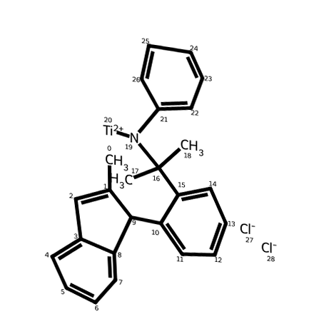 CC1=Cc2ccccc2C1c1ccccc1C(C)(C)[N]([Ti+2])c1ccccc1.[Cl-].[Cl-]